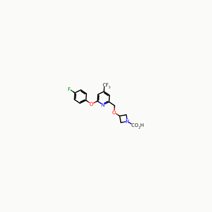 O=C(O)N1CC(OCc2cc(C(F)(F)F)cc(Oc3ccc(F)cc3)n2)C1